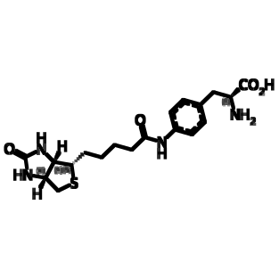 N[C@@H](Cc1ccc(NC(=O)CCCC[C@@H]2SC[C@@H]3NC(=O)N[C@@H]32)cc1)C(=O)O